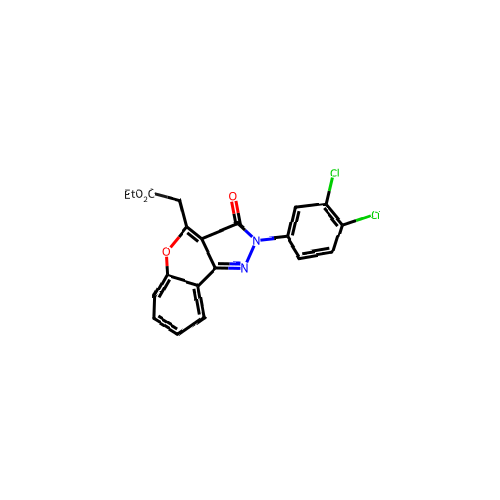 CCOC(=O)Cc1oc2ccccc2c2nn(-c3ccc(Cl)c(Cl)c3)c(=O)c1-2